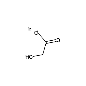 O=C(Cl)CO.[Ir]